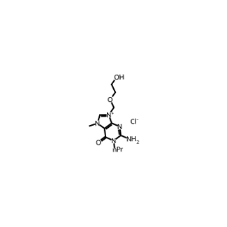 CCCn1c(N)nc2c(c1=O)n(C)c[n+]2COCCO.[Cl-]